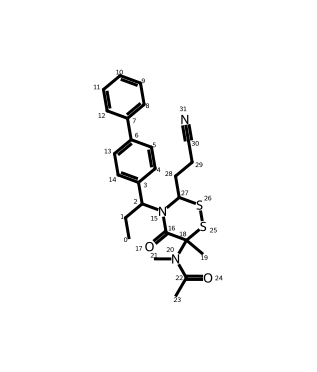 CCC(c1ccc(-c2ccccc2)cc1)N1C(=O)C(C)(N(C)C(C)=O)SSC1CCC#N